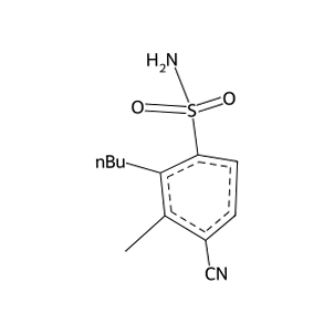 CCCCc1c(S(N)(=O)=O)ccc(C#N)c1C